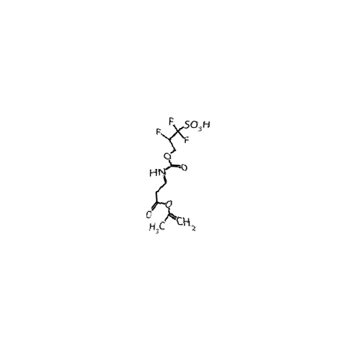 C=C(C)OC(=O)CCNC(=O)OCC(F)C(F)(F)S(=O)(=O)O